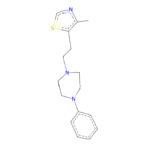 Cc1ncsc1CCN1CCN(c2ccccc2)CC1